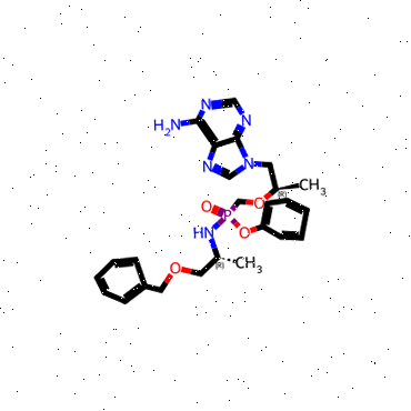 C[C@H](COCc1ccccc1)NP(=O)(CO[C@H](C)Cn1cnc2c(N)ncnc21)Oc1ccccc1